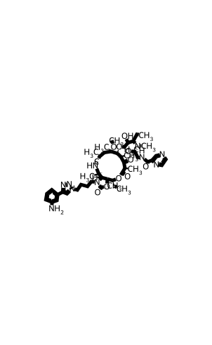 CCC(C(O)[C@@H](OCCNC(=O)c1cnccn1)O[C@@H]1[C@@H](C)C(=O)[C@@H](C)C(=O)O[C@H](CC)[C@@]2(C)OC(=O)N(CCCCn3cc(-c4cccc(N)c4)nn3)[C@@H]2[C@@H](C)NC[C@H](C)C[C@@]1(C)OC)N(C)C